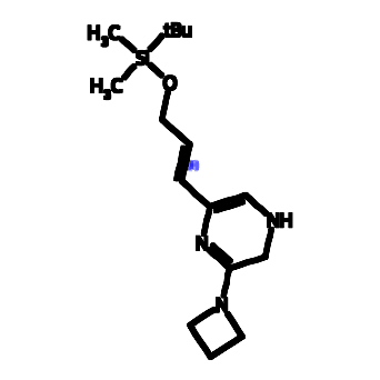 CC(C)(C)[Si](C)(C)OC/C=C/C1=CNCC(N2CCC2)=N1